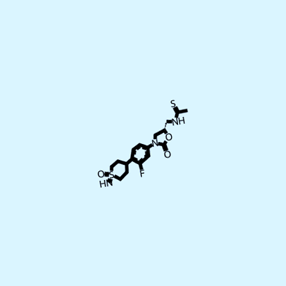 CC(=S)NC[C@H]1CN(c2ccc(C3CCS(=N)(=O)CC3)c(F)c2)C(=O)O1